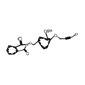 CCC#CCOc1ccc(CON2C(=O)c3ccccc3C2=O)cc1OC